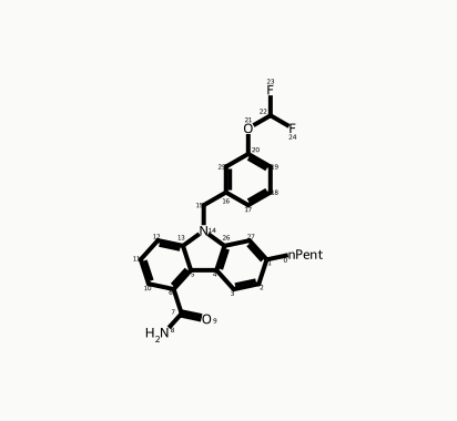 CCCCCc1c[c]c2c3c(C(N)=O)cccc3n(Cc3cccc(OC(F)F)c3)c2c1